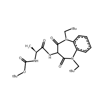 C[C@H](NC(=O)OC(C)(C)C)C(=O)NC1C(=O)N(CC(C)(C)C)c2ccccc2N(CC(C)(C)C)C1=O